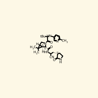 Cc1ccc(NC(C(=O)N2C[C@H]3[C@@H]([C@H]2C(=O)NC(C#N)C[C@@H]2CCNC2=O)C3(C)C)C(C)(C)C)cn1